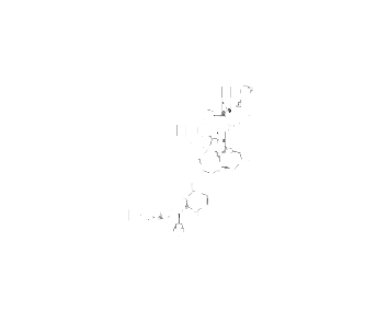 C=c1c2ccc(Cc3ccc(C(=O)OCC)cc3)c3cccc(c32)n1C1CCC(=O)NC1=O